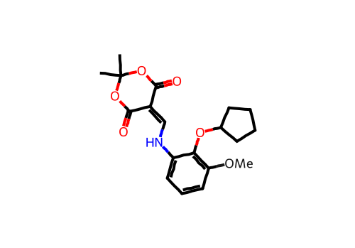 COc1cccc(NC=C2C(=O)OC(C)(C)OC2=O)c1OC1CCCC1